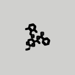 CC[C@@H]1OC[C@H](OCc2c(C)cccc2C)[C@@H](C(C)OC(=O)c2ccccc2)O1